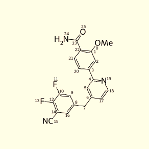 COc1cc(-c2cc(Cc3cc(F)c(F)c(C#N)c3)ccn2)ccc1C(N)=O